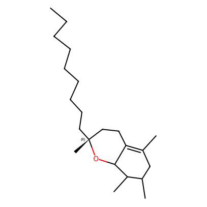 CCCCCCCCC[C@]1(C)CCC2=C(C)CC(C)C(C)C2O1